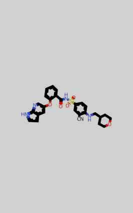 N#Cc1cc(S(=O)(=O)NC(=O)c2ccccc2Oc2cnc3[nH]ccc3c2)ccc1NCC1CCOCC1